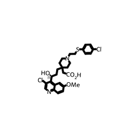 COc1ccc2ncc(Cl)c([C@@H](O)CCC3(CC(=O)O)CCN(CCSc4ccc(Cl)cc4)CC3)c2c1